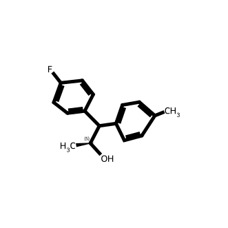 Cc1ccc(C(c2ccc(F)cc2)[C@H](C)O)cc1